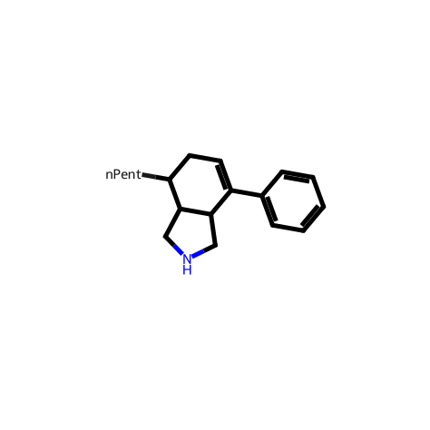 CCCCCC1CC=C(c2ccccc2)C2CNCC12